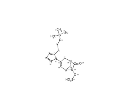 CC(C)(C)[Si](C)(C)OCCc1ccnn1C1=CC2CN(C1)C(=O)N2OS(=O)(=O)O